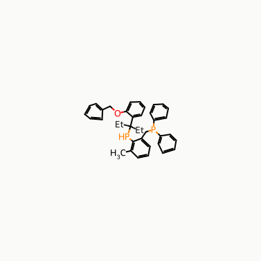 CCC(CC)(Pc1c(C)cccc1CP(c1ccccc1)c1ccccc1)c1ccccc1OCc1ccccc1